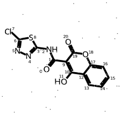 O=C(Nc1nnc(Cl)s1)c1c(O)c2ccccc2oc1=O